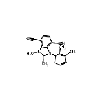 Cc1cccc(N2c3c(C#N)ccc(C#N)c3N(C)[C@@H]2C)c1C